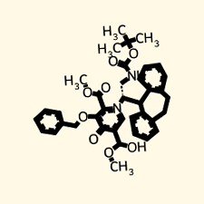 COC(=O)c1c(OCc2ccccc2)c(=O)c(C(O)OC)cn1[C@H](CNC(=O)OC(C)(C)C)C1c2ccccc2CCc2ccccc21